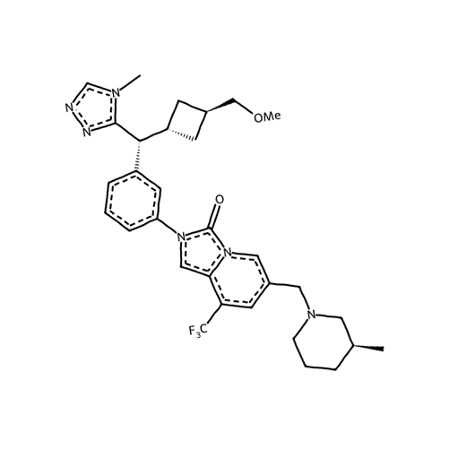 COC[C@H]1C[C@H]([C@H](c2cccc(-n3cc4c(C(F)(F)F)cc(CN5CCC[C@H](C)C5)cn4c3=O)c2)c2nncn2C)C1